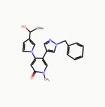 COC(O)c1ccn(-c2cc(=O)n(C)cc2-c2cnn(Cc3ccccc3)c2)c1